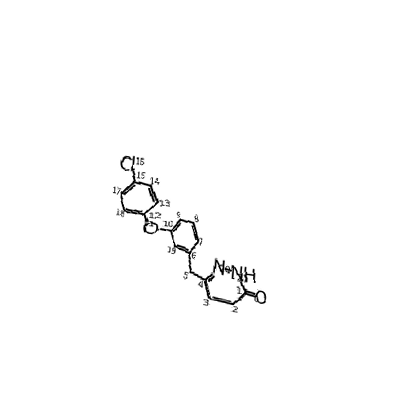 O=c1ccc(Cc2cccc(Oc3ccc(Cl)cc3)c2)n[nH]1